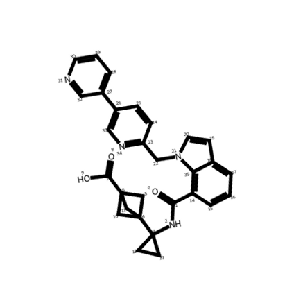 O=C(NC1(C23CC(C(=O)O)(C2)C3)CC1)c1cccc2ccn(Cc3ccc(-c4cccnc4)cn3)c12